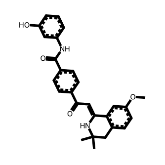 COc1ccc2c(c1)/C(=C/C(=O)c1ccc(C(=O)Nc3cccc(O)c3)cc1)NC(C)(C)C2